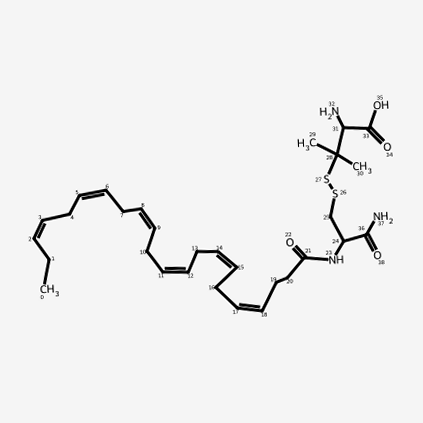 CC/C=C\C/C=C\C/C=C\C/C=C\C/C=C\C/C=C\CCC(=O)NC(CSSC(C)(C)C(N)C(=O)O)C(N)=O